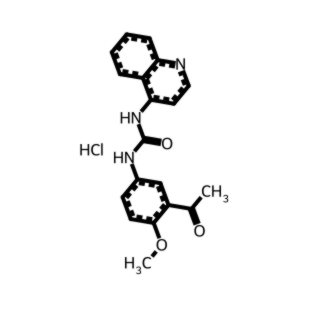 COc1ccc(NC(=O)Nc2ccnc3ccccc23)cc1C(C)=O.Cl